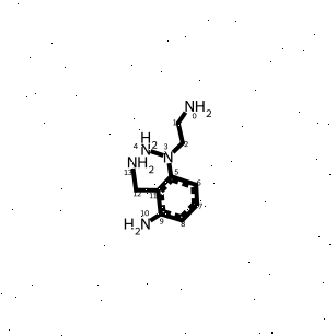 NCCN(N)c1cccc(N)c1CN